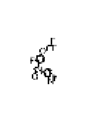 O=C1CC(c2ccc(OCCC(F)F)cc2F)N1c1ccn2ccnc2c1